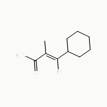 CC/C(=C(/C)C(N)=O)C1CCCCC1